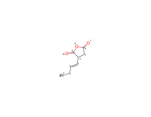 CC(C)CC=CC1CC(=O)OC1=O